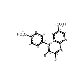 CC(=Nc1ccc(C(=O)O)cc1)C(C)=Nc1ccc(C(=O)O)cc1